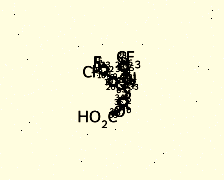 Cc1cc(SC(Cc2ccc(-c3ccc(F)c(Cl)c3)cc2)c2sc(-c3ccc(C(F)(F)F)cc3)nc2C)ccc1OCC(=O)O